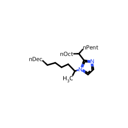 CCCCCCCCCCCCCCC(C)n1ccnc1C(CCCCC)CCCCCCCC